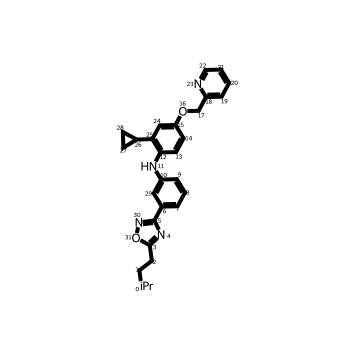 CC(C)CCc1nc(-c2cccc(Nc3ccc(OCc4ccccn4)cc3C3CC3)c2)no1